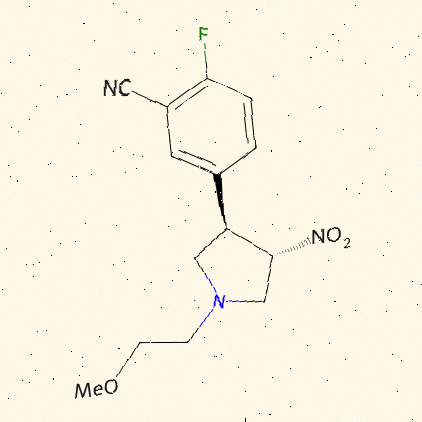 COCCN1C[C@@H]([N+](=O)[O-])[C@H](c2ccc(F)c(C#N)c2)C1